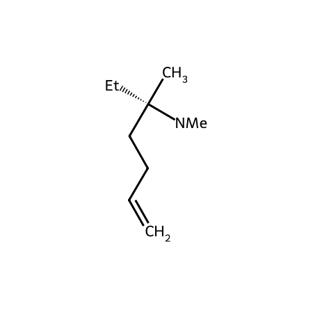 C=CCC[C@](C)(CC)NC